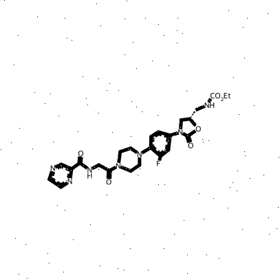 CCOC(=O)NC[C@H]1CN(c2ccc(N3CCN(C(=O)CNC(=O)c4cnccn4)CC3)c(F)c2)C(=O)O1